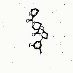 O=C(c1ccccn1)N1CCC2(CC1)OC1CC[C@@H](c3cc(F)cc(F)c3)N1C2=O